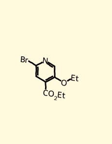 CCOC(=O)c1cc(Br)ncc1OCC